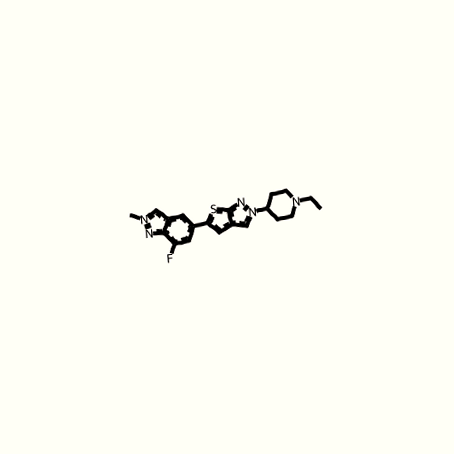 CCN1CCC(n2cc3cc(-c4cc(F)c5nn(C)cc5c4)sc3n2)CC1